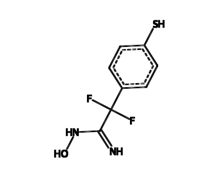 N=C(NO)C(F)(F)c1ccc(S)cc1